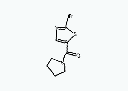 CC(C)c1ncc(C(=O)N2CCCC2)s1